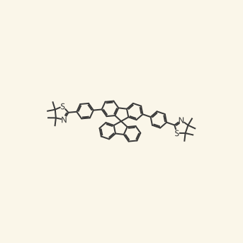 CC1(C)N=C(c2ccc(-c3ccc4c(c3)C3(c5ccccc5-c5ccccc53)c3cc(-c5ccc(C6=NC(C)(C)C(C)(C)S6)cc5)ccc3-4)cc2)SC1(C)C